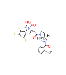 CC(C)(C)N(C(=O)O)[C@@H](CC(=O)N1CC[C@H]2CN(C(=O)c3ccccc3C3CC3)C[C@H]21)Cc1cc(F)c(F)cc1F